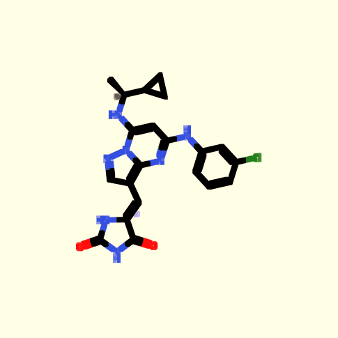 C[C@H](Nc1cc(Nc2cccc(Cl)c2)nc2c(/C=C3\NC(=O)NC3=O)cnn12)C1CC1